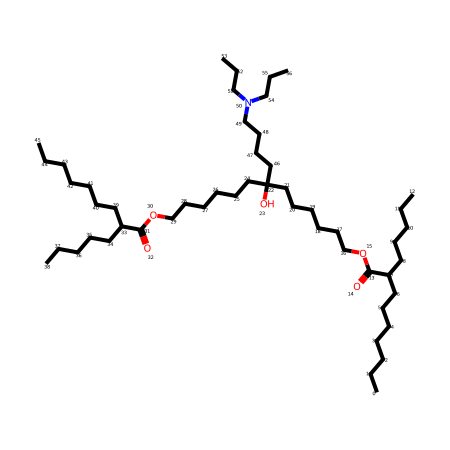 CCCCCCCC(CCCCC)C(=O)OCCCCCCC(O)(CCCCCCOC(=O)C(CCCCC)CCCCCCC)CCCCN(CCC)CCC